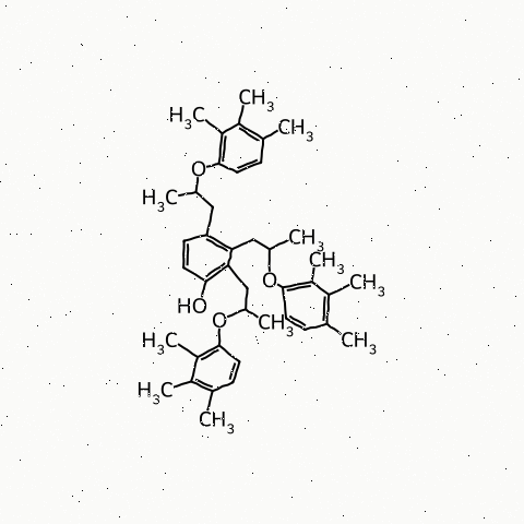 Cc1ccc(OC(C)Cc2ccc(O)c(CC(C)Oc3ccc(C)c(C)c3C)c2CC(C)Oc2ccc(C)c(C)c2C)c(C)c1C